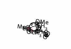 COc1cc2cc(c1Cl)N(C)C(=O)CC(OC(=O)CCCCC(=O)ON1C(=O)CCC1=O)C1(C)OC1C(C)C1CC(O)(NC(=O)O1)C(OC)/C=C/C=C(\C)C2